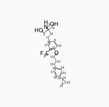 NC(CO)(CO)CCc1ccc(OCCCc2ccc(C3CC3)cc2)c(C(F)(F)F)c1